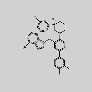 Nc1ncnc2c1ncn2Cc1cc(-c2ccc(F)c(F)c2)ncc1N1CCC[C@](N)(c2cccc(O)n2)C1